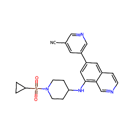 N#Cc1cncc(-c2cc(NC3CCN(S(=O)(=O)C4CC4)CC3)c3cnccc3c2)c1